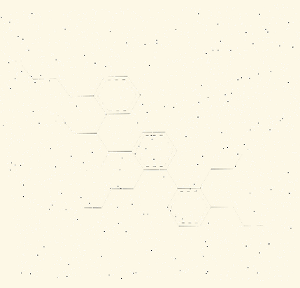 O=C(O)CCc1cccc(-c2cccc(C(C(=O)O)C(CC(=O)O)c3ccccc3CCCO)c2CCCO)c1CCO